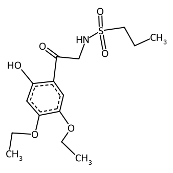 CCCS(=O)(=O)NCC(=O)c1cc(OCC)c(OCC)cc1O